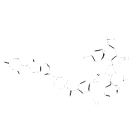 COc1cc(C(=O)N2CCN(c3ccc4c(c3)CN(C3CCC(=O)NC3=O)C4=O)CC2)ccc1NC(=O)[C@H]1[C@H](c2cccc(Cl)c2F)[C@]2(CNc3cc(C(F)(F)F)ncc32)[C@H](CC(C)(C)C)N1c1ccccn1